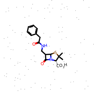 CC1(C)SC2C(CNC(=O)Cc3ccccc3)C(=O)N2[C@H]1C(=O)O